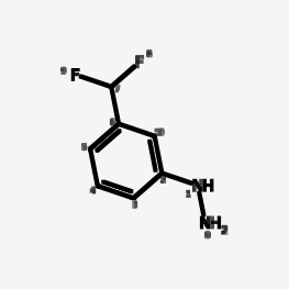 NNc1cccc(C(F)F)c1